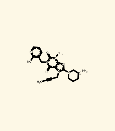 CC#CCn1c(N2CCC[C@@H](N)C2)nc2c1c(=O)n(Cc1cccnc1C#N)c(=O)n2C